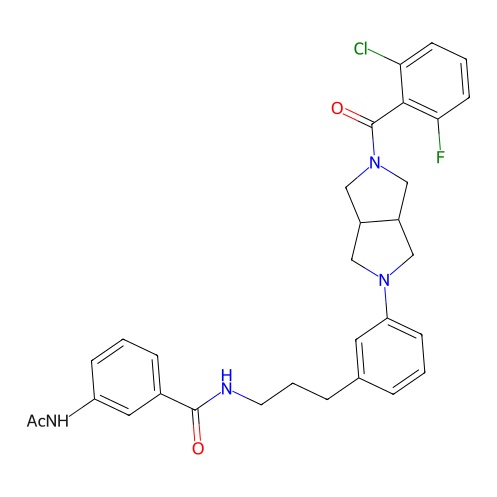 CC(=O)Nc1cccc(C(=O)NCCCc2cccc(N3CC4CN(C(=O)c5c(F)cccc5Cl)CC4C3)c2)c1